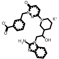 Nc1nc2ccccc2n1CC(O)C1CCCN(c2ccc(=O)n(Cc3cccc(C(=O)[O-])c3)n2)C1.[K+]